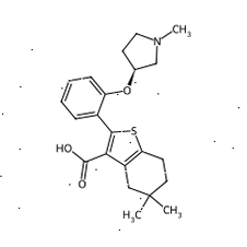 CN1CC[C@H](Oc2ccccc2-c2sc3c(c2C(=O)O)CC(C)(C)CC3)C1